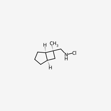 C[C@]1(CNCl)C[C@H]2CCC[C@H]21